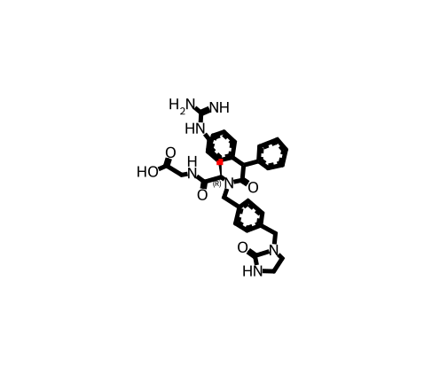 N=C(N)NCCC[C@H](C(=O)NCC(=O)O)N(Cc1ccc(CN2CCNC2=O)cc1)C(=O)C(c1ccccc1)c1ccccc1